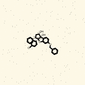 O[C@H]1C[C@@H](c2ccccc2)[C@]2(c3ccc(Cl)cc3)Oc3cc(OCc4ccccc4)ccc3[C@]12O